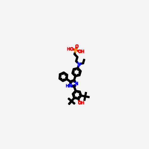 CCN(CCCP(=O)(O)O)c1ccc(-c2nc(-c3cc(C(C)(C)C)c(O)c(C(C)(C)C)c3)[nH]c2-c2ccccc2)cc1